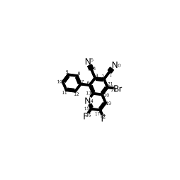 N#Cc1c(C#N)c(-c2ccccc2)c2nc(F)c(F)cc2c1Br